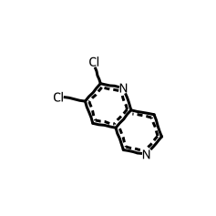 Clc1cc2cnccc2nc1Cl